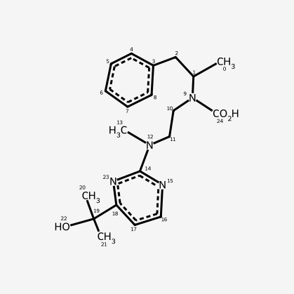 CC(Cc1ccccc1)N(CCN(C)c1nccc(C(C)(C)O)n1)C(=O)O